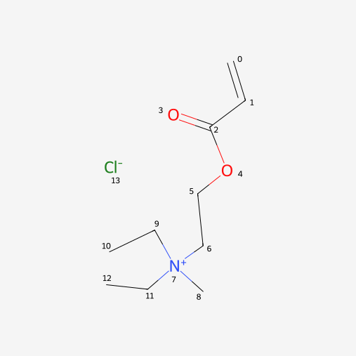 C=CC(=O)OCC[N+](C)(CC)CC.[Cl-]